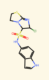 O=S(=O)(Nc1ccc2[nH]ccc2c1)C1C(Cl)N=C2SCCN21